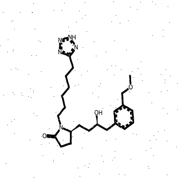 COCc1cccc(C[C@H](O)CC[C@H]2CCC(=O)N2CCCCCCc2nn[nH]n2)c1